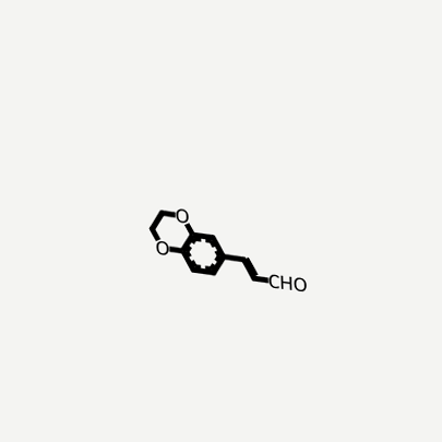 O=CC=Cc1ccc2c(c1)OCCO2